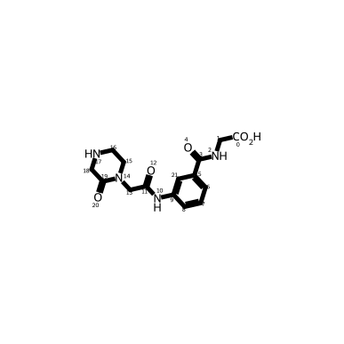 O=C(O)CNC(=O)c1cccc(NC(=O)CN2CCNCC2=O)c1